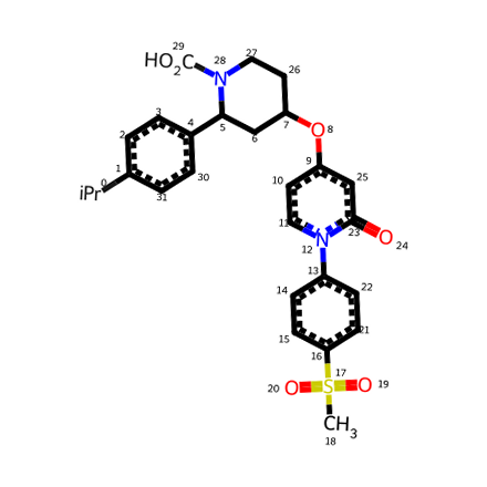 CC(C)c1ccc(C2CC(Oc3ccn(-c4ccc(S(C)(=O)=O)cc4)c(=O)c3)CCN2C(=O)O)cc1